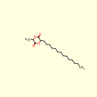 CCCCCCCCCCCCCCC1OC(=O)C(C)OC1=O